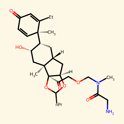 CCCC1O[C@@H]2C[C@H]3C[C@@H]([C@@]4(C)C=CC(=O)C=C4CC)[C@@H](O)C[C@]3(C)[C@]2(C(=O)COCN(C)C(=O)CN)O1